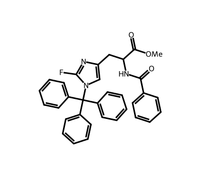 COC(=O)C(Cc1cn(C(c2ccccc2)(c2ccccc2)c2ccccc2)c(F)n1)NC(=O)c1ccccc1